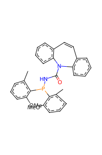 COc1cccc(C)c1P(NC(=O)N1c2ccccc2C=Cc2ccccc21)c1c(C)cccc1OC